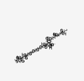 CCCC(=O)NCCNCC(=O)CCCOc1cc2c(cc1OC)C(NC(=O)CCOCCOCCOCCOCCNC(=O)CCNC1C(=O)CC(SC)C1=O)CO[NH+]2[O-]